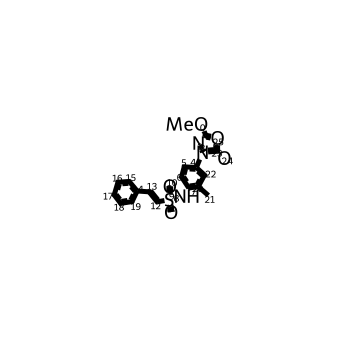 COc1nn(-c2ccc(NS(=O)(=O)C=Cc3ccccc3)c(C)c2)c(=O)o1